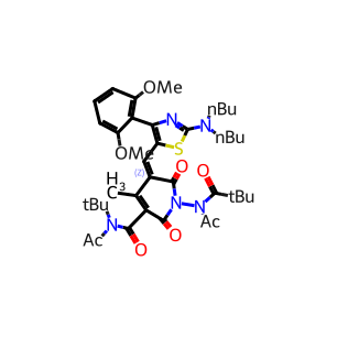 CCCCN(CCCC)c1nc(-c2c(OC)cccc2OC)c(/C=C2\C(=O)N(N(C(C)=O)C(=O)C(C)(C)C)C(=O)C(C(=O)N(C(C)=O)C(C)(C)C)=C2C)s1